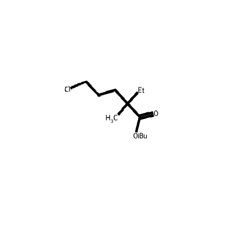 CCC(C)(CCCCl)C(=O)OCC(C)C